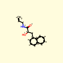 C=CCNC(=O)C(O)Cc1cccc2ccccc12